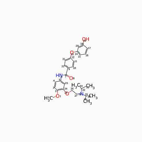 COc1ccc(NC(=O)c2ccc(Oc3cccc(O)c3)cc2)cc1OCCN(C(C)C)C(C)C